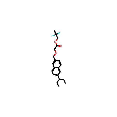 CCC(CC)c1ccc2cc(COCC(=O)OCC(C)(F)F)ccc2c1